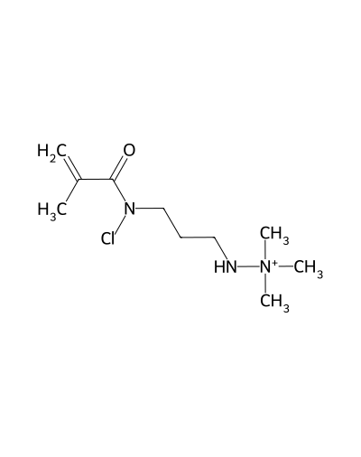 C=C(C)C(=O)N(Cl)CCCN[N+](C)(C)C